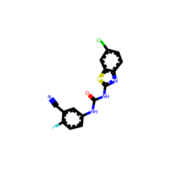 N#Cc1cc(NC(=O)Nc2nc3ccc(Cl)cc3s2)ccc1F